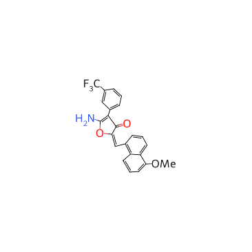 COc1cccc2c(/C=C3/OC(N)=C(c4cccc(C(F)(F)F)c4)C3=O)cccc12